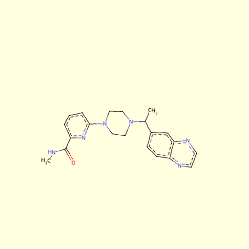 CNC(=O)c1cccc(N2CCN(C(C)c3ccc4nccnc4c3)CC2)n1